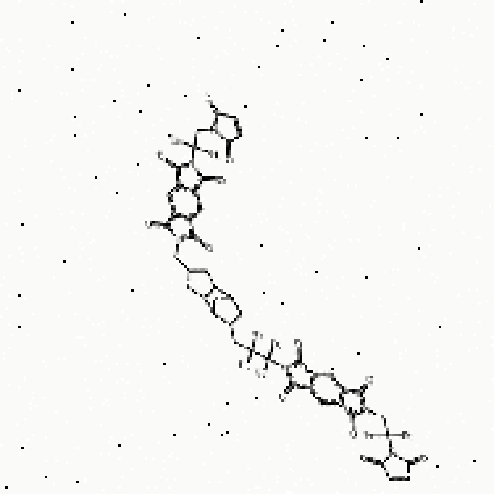 CCC(CC)(Cn1c(=O)c2cc3c(=O)n(C(CC)(CC)C(CC)(CC)CC4CC5CC4C4CC(Cn6c(=O)c7cc8c(=O)n(C(CC)(CC)CN9C(=O)C=CC9=O)c(=O)c8cc7c6=O)CC54)c(=O)c3cc2c1=O)N1C(=O)C=CC1=O